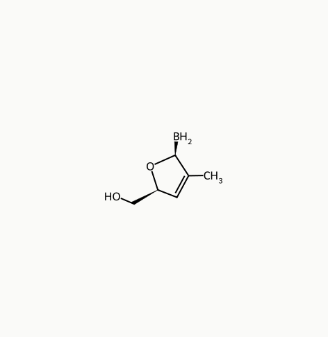 B[C@@H]1O[C@H](CO)C=C1C